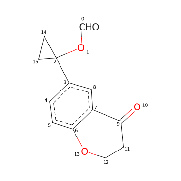 O=COC1(c2ccc3c(c2)C(=O)CCO3)CC1